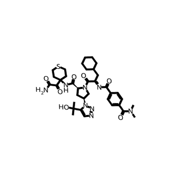 CN(C)C(=O)c1ccc(C(=O)/N=C(\CC2CCCCC2)C(=O)N2C[C@@H](n3nncc3C(C)(C)O)C[C@H]2C(=O)NC2(C(=O)C(N)=O)CCSCC2)cc1